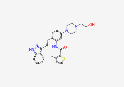 Cc1ccsc1C(=O)Nc1cc(N2CCN(CCO)CC2)ccc1C=Cc1n[nH]c2ccccc12